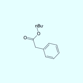 CCC[CH]OC(=O)Cc1ccccc1